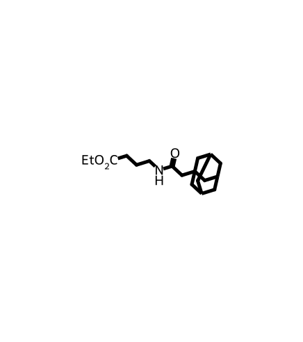 CCOC(=O)CCCNC(=O)CC12CC3CC(CC(C3)C1)C2